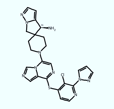 N[C@@H]1c2ccnn2CC12CCN(c1cnc(Sc3ccnc(-n4cccn4)c3Cl)c3cncn13)CC2